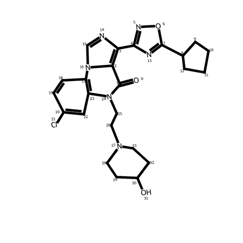 O=c1c2c(-c3noc(C4CCCC4)n3)ncn2c2ccc(Cl)cc2n1CCN1CCC(O)CC1